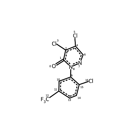 O=c1c(Cl)c(Cl)cnn1-c1cc(C(F)(F)F)ccc1Cl